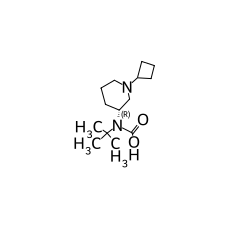 CC(C)(C)N(C(=O)O)[C@@H]1CCCN(C2CCC2)C1